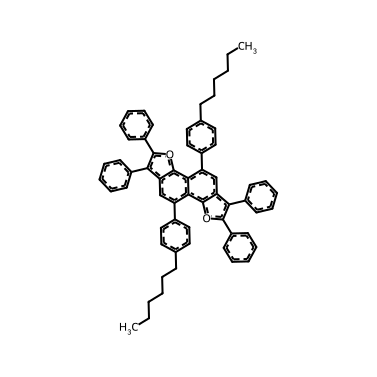 CCCCCCc1ccc(-c2cc3c(-c4ccccc4)c(-c4ccccc4)oc3c3c(-c4ccc(CCCCCC)cc4)cc4c(-c5ccccc5)c(-c5ccccc5)oc4c23)cc1